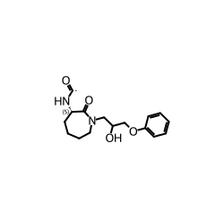 O=[C]N[C@H]1CCCCN(CC(O)COc2ccccc2)C1=O